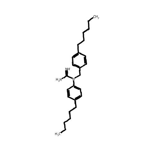 CCCCCCc1ccc(CN(C(=N)N)c2ccc(CCCCCC)cc2)cc1